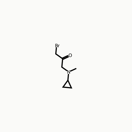 CN(CC(=O)CBr)C1CC1